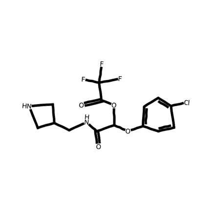 O=C(NCC1CNC1)C(OC(=O)C(F)(F)F)Oc1ccc(Cl)cc1